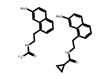 CSc1ccc2cccc(CCNC(=O)C(F)(F)F)c2c1.CSc1ccc2cccc(CCNC(=O)C3CC3)c2c1